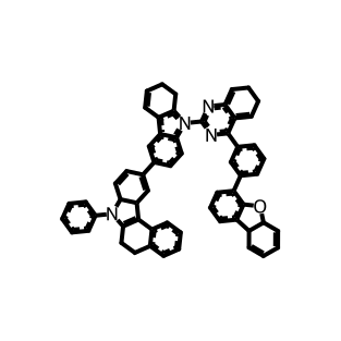 C1=CC2Oc3c(-c4cccc(-c5nc(-n6c7c(c8cc(C9=CC%10C%11=C(CCc%12ccccc%12%11)N(c%11ccccc%11)C%10C=C9)ccc86)C=CCC7)nc6c5=CCCC=6)c4)cccc3C2C=C1